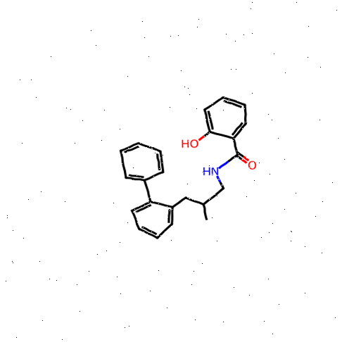 CC(CNC(=O)c1ccccc1O)Cc1ccccc1-c1ccccc1